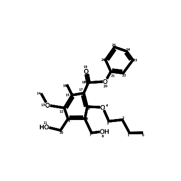 CCCCOc1c(CO)c(CO)c(OC)c(C)c1C(=O)Oc1ccccc1